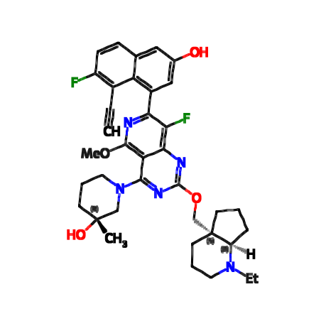 C#Cc1c(F)ccc2cc(O)cc(-c3nc(OC)c4c(N5CCC[C@@](C)(O)C5)nc(OC[C@]56CCC[C@H]5N(CC)CCC6)nc4c3F)c12